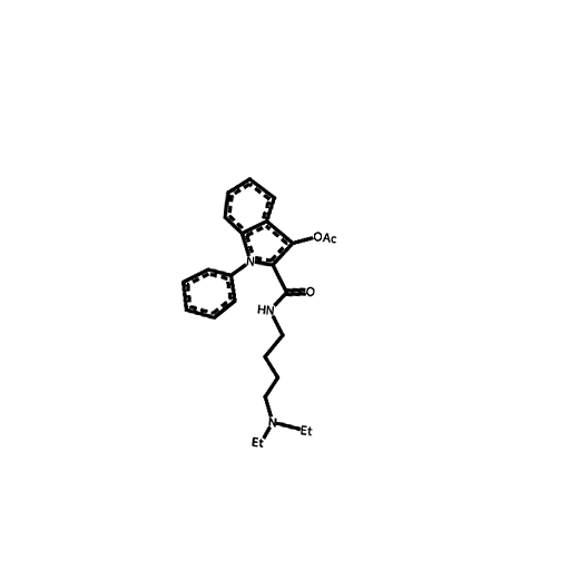 CCN(CC)CCCCNC(=O)c1c(OC(C)=O)c2ccccc2n1-c1ccccc1